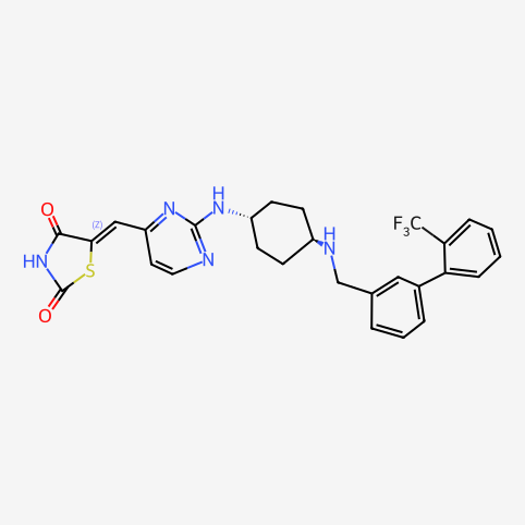 O=C1NC(=O)/C(=C/c2ccnc(N[C@H]3CC[C@H](NCc4cccc(-c5ccccc5C(F)(F)F)c4)CC3)n2)S1